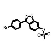 CS(=O)(=O)Oc1ccc2c(-c3ccc(Br)cc3)nsc2c1